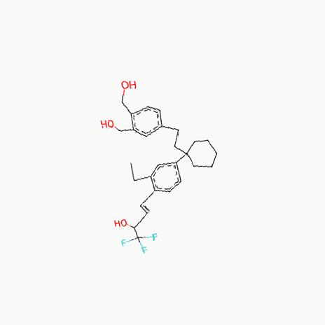 CCc1cc(C2(CCc3ccc(CO)c(CO)c3)CCCCC2)ccc1/C=C/C(O)C(F)(F)F